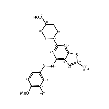 COc1ccc(CNc2nc(C3CCC(C(=O)O)CC3)nc3sc(C(F)(F)F)cc23)cc1Cl